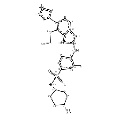 CCOc1c(-c2cn[nH]c2)ccn2nc(Nc3ccc(S(=O)(=O)N[C@H]4CC[C@@H](N)CC4)cc3C)nc12